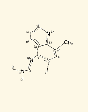 CN(C)/C=N/c1c(I)cc(Cl)c2ncccc12